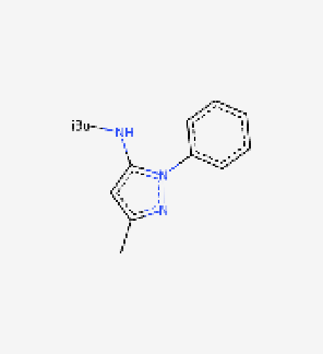 CCC(C)Nc1cc(C)nn1-c1ccccc1